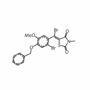 COc1cc(/C(Br)=C2\SC(=O)N(C)C2=O)c(Br)cc1OCc1ccccc1